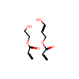 C=CC(=O)OCC=CO.C=CC(=O)OCCO